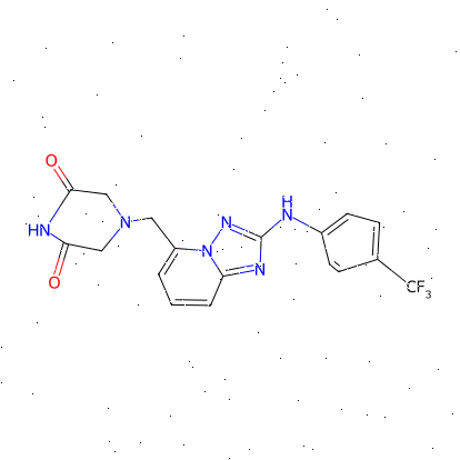 O=C1CN(Cc2cccc3nc(Nc4ccc(C(F)(F)F)cc4)nn23)CC(=O)N1